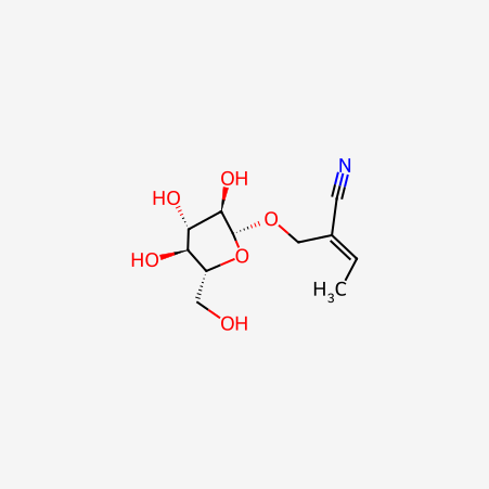 C/C=C(/C#N)CO[C@@H]1O[C@H](CO)[C@@H](O)[C@H](O)[C@H]1O